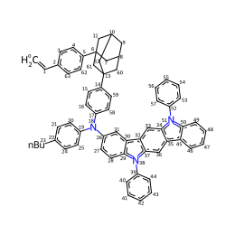 C=Cc1ccc(C23CC4CC(C2)CC(c2ccc(N(c5ccc(CCCC)cc5)c5ccc6c(c5)c5cc7c(cc5n6-c5ccccc5)c5ccccc5n7-c5ccccc5)cc2)(C4)C3)cc1